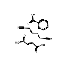 N#CCCCCC#N.O=C(O)C=CC(=O)O.O=C(O)c1ccccc1